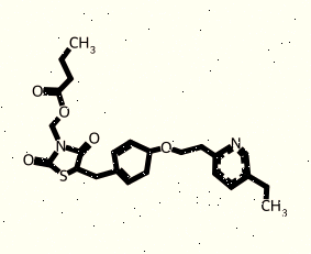 CCCC(=O)OCN1C(=O)SC(CC2=CCC(OCCc3ccc(CC)cn3)C=C2)C1=O